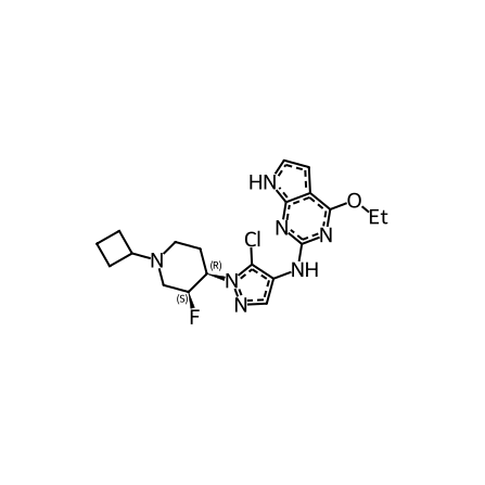 CCOc1nc(Nc2cnn([C@@H]3CCN(C4CCC4)C[C@@H]3F)c2Cl)nc2[nH]ccc12